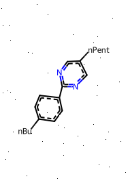 CCCCCc1cnc(-c2ccc(CCCC)cc2)nc1